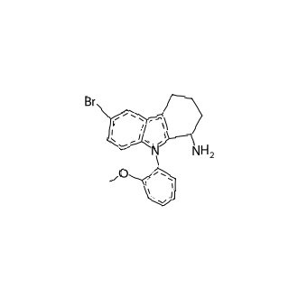 COc1ccccc1-n1c2c(c3cc(Br)ccc31)CCCC2N